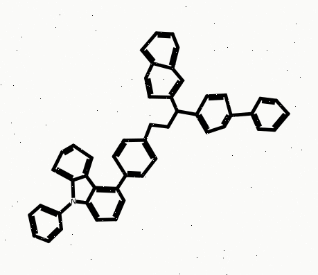 c1ccc(-c2ccc(C(CCc3ccc(-c4cccc5c4c4ccccc4n5-c4ccccc4)cc3)c3ccc4ccccc4c3)cc2)cc1